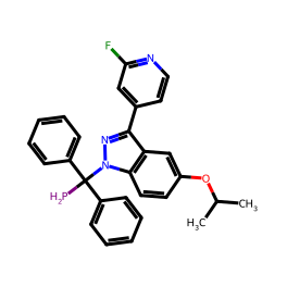 CC(C)Oc1ccc2c(c1)c(-c1ccnc(F)c1)nn2C(P)(c1ccccc1)c1ccccc1